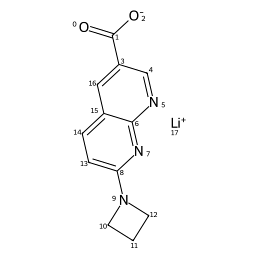 O=C([O-])c1cnc2nc(N3CCC3)ccc2c1.[Li+]